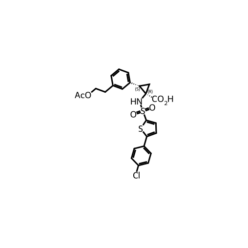 CC(=O)OCCc1cccc([C@@H]2C[C@]2(NS(=O)(=O)c2ccc(-c3ccc(Cl)cc3)s2)C(=O)O)c1